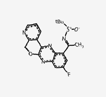 CC(=N[S+]([O-])C(C)(C)C)c1cc(F)cc2nc3c(nc12)-c1cccnc1CO3